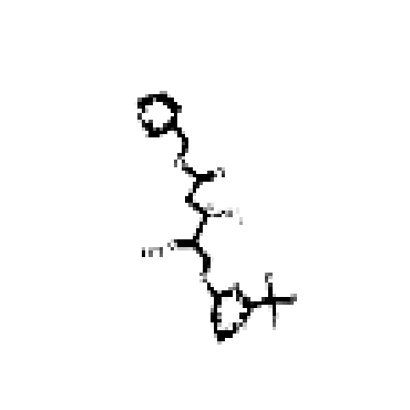 Cl.N[C@@H](CC(=O)OCc1ccccc1)C(=O)COc1ccnc(C(F)(F)F)n1